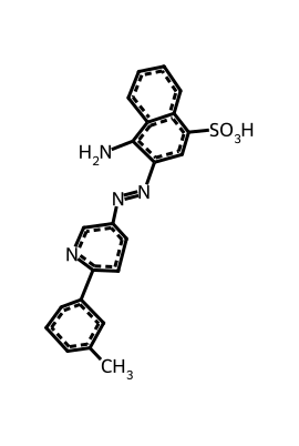 Cc1cccc(-c2ccc(N=Nc3cc(S(=O)(=O)O)c4ccccc4c3N)cn2)c1